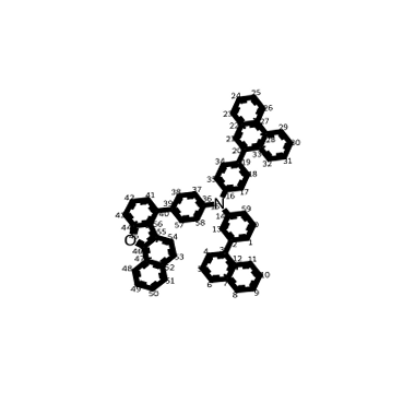 c1cc(-c2cccc3ccccc23)cc(N(c2ccc(-c3cc4ccccc4c4ccccc34)cc2)c2ccc(-c3cccc4oc5c6ccccc6ccc5c34)cc2)c1